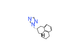 c1cc2c3c(c1)C[C@@H](Cn1cncn1)C[C@H]3CCC2